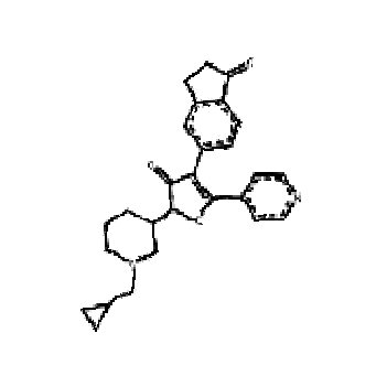 O=C1CCc2cc(C3=C(c4ccncc4)OC(C4CCCN(CC5CC5)C4)C3=O)ccc21